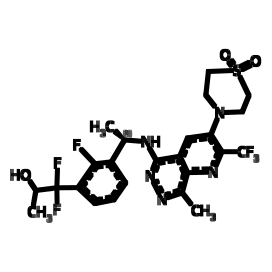 Cc1nnc(N[C@H](C)c2cccc(C(F)(F)C(C)O)c2F)c2cc(N3CCS(=O)(=O)CC3)c(C(F)(F)F)nc12